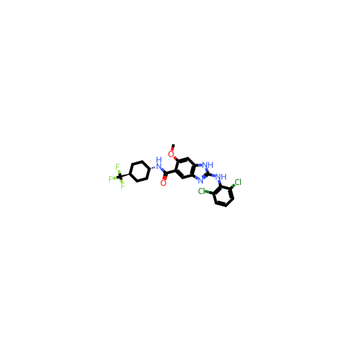 COc1cc2[nH]c(Nc3c(Cl)cccc3Cl)nc2cc1C(=O)N[C@H]1CC[C@H](C(F)(F)F)CC1